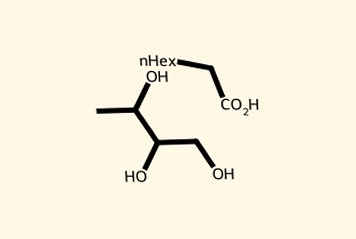 CC(O)C(O)CO.CCCCCCCC(=O)O